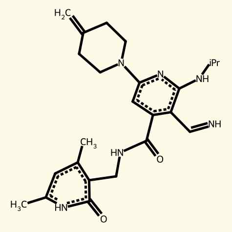 C=C1CCN(c2cc(C(=O)NCc3c(C)cc(C)[nH]c3=O)c(C=N)c(NC(C)C)n2)CC1